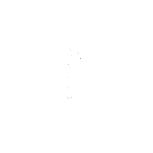 CC(C)C(=O)CCCCCOC(C)(C)C(=O)C(C)O